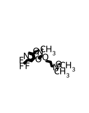 CON(C)CCCOC(=O)N(C)Oc1ccc(C(F)(F)F)nc1